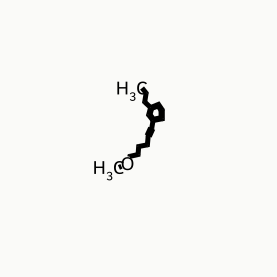 CCCc1cccc(C#CCCCCOC)c1